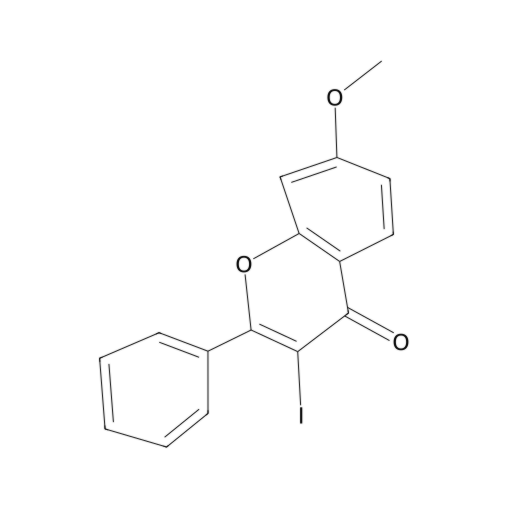 COc1ccc2c(=O)c(I)c(-c3ccccc3)oc2c1